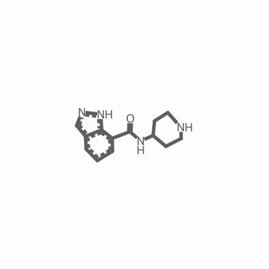 O=C(NC1CCNCC1)c1cccc2cn[nH]c12